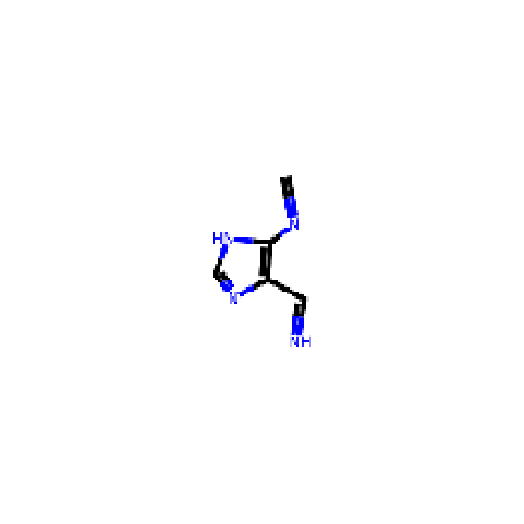 C=Nc1[nH]cnc1C=N